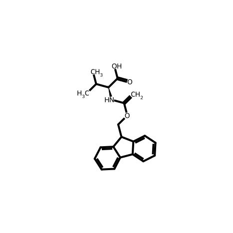 C=C(N[C@H](C(=O)O)C(C)C)OCC1c2ccccc2-c2ccccc21